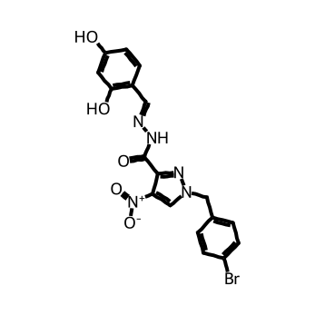 O=C(N/N=C/c1ccc(O)cc1O)c1nn(Cc2ccc(Br)cc2)cc1[N+](=O)[O-]